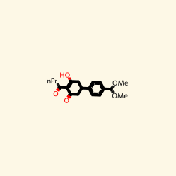 CCCC(=O)C1=C(O)CC(c2ccc(C(OC)OC)cc2)CC1=O